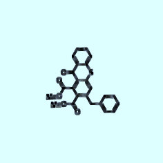 COC(=O)c1c(Cc2ccccc2)cc2sc3ccccc3c(=O)c2c1C(=O)OC